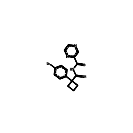 N=C(NC(=O)c1cnccn1)C1(c2ccc(Br)cc2)CCC1